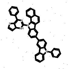 C1=CC2NC(n3c4ccc(-c5ccc6c(c5)c5ccccc5n6-c5ccccc5)cc4c4ccc5ccccc5c43)=NC(c3ccccc3)=C2S1